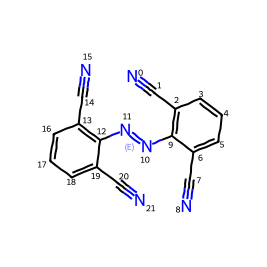 N#Cc1cccc(C#N)c1/N=N/c1c(C#N)cccc1C#N